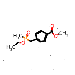 CCOP(C)(=O)Cc1ccc(C(=O)OC)cc1